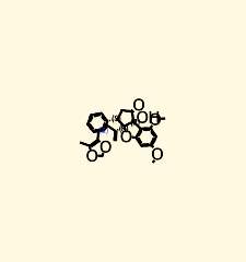 C=C(/C=C\C1=C(C)OCO1)[C@@]12Oc3cc(OC)cc(OC)c3[C@]1(O)C(=O)C[C@H]2c1ccccc1